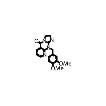 COc1ccc(CN2C3=NCCN3C(=O)c3cccnc32)cc1OC